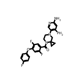 Nc1cc(P)c(N2CCN(C(=O)c3cc(F)c(Oc4ccc(F)cc4)cc3F)C3(CC3)C2)cn1